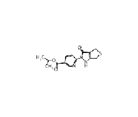 CC(C)OC(=O)c1ccc(-n2[nH]c3c(c2=O)CSC3)nc1